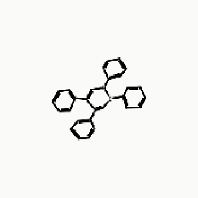 C1=C(c2ccccc2)C(c2ccccc2)=CN(c2ccccc2)B1c1ccccc1